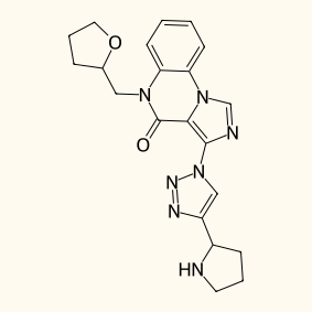 O=c1c2c(-n3cc(C4CCCN4)nn3)ncn2c2ccccc2n1CC1CCCO1